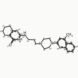 Cc1cc(N2CCN(CCCNc3nc4c(c(=O)[nH]3)CCCC4)CC2)nc2ccccc12